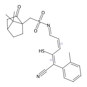 Cc1ccccc1/C(C#N)=C(S)\C=C/C=NS(=O)(=O)CC12CCC(CC1=O)C2(C)C